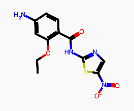 CCOc1cc(N)ccc1C(=O)Nc1ncc([N+](=O)[O-])s1